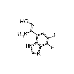 N/C(=N\O)c1cc(F)c(F)c2nc[nH]c12